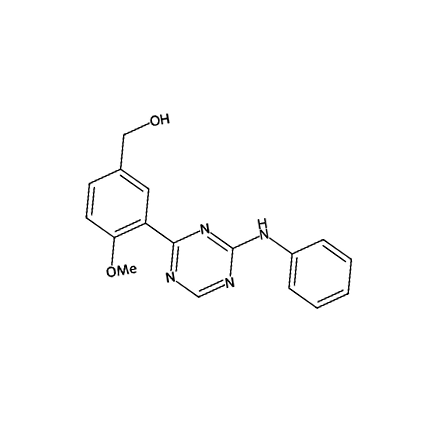 COc1ccc(CO)cc1-c1ncnc(Nc2ccccc2)n1